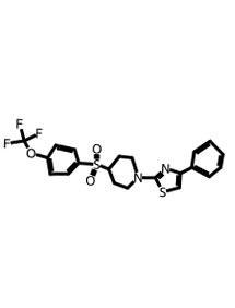 O=S(=O)(c1ccc(OC(F)(F)F)cc1)C1CCN(c2nc(-c3ccccc3)cs2)CC1